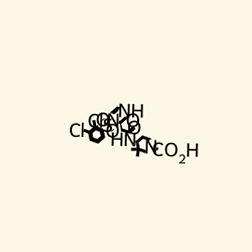 CC1(C)CN(C(=O)O)CC[C@@H]1NC(=O)C[C@@H]1C(=O)NC=CN1S(=O)(=O)c1cccc(Cl)c1Cl